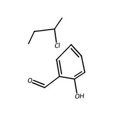 CCC(C)Cl.O=Cc1ccccc1O